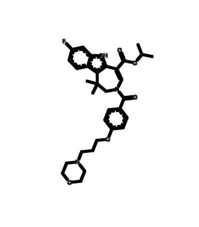 CC(C)OC(=O)C1=CN(C(=O)c2ccc(OCCCN3CCOCC3)cc2)CC(C)(C)c2c1[nH]c1cc(F)ccc21